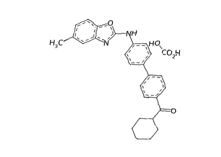 Cc1ccc2oc(Nc3ccc(-c4ccc(C(=O)C5CCCCC5)cc4)cc3)nc2c1.O=C(O)O